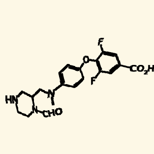 CN(CC1CNCCN1C=O)c1ccc(Oc2c(F)cc(C(=O)O)cc2F)cc1